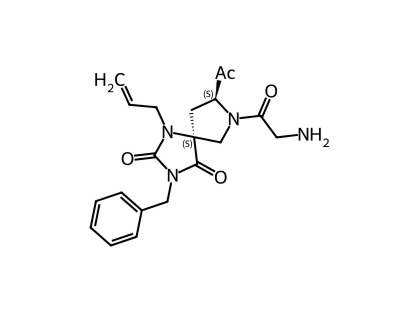 C=CCN1C(=O)N(Cc2ccccc2)C(=O)[C@@]12C[C@@H](C(C)=O)N(C(=O)CN)C2